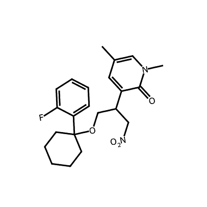 Cc1cc(C(COC2(c3ccccc3F)CCCCC2)C[N+](=O)[O-])c(=O)n(C)c1